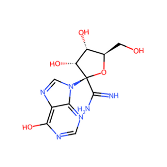 N=C(N)[C@@]1(n2cnc3c(O)ncnc32)O[C@H](CO)[C@@H](O)[C@H]1O